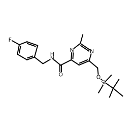 Cc1nc(CO[Si](C)(C)C(C)(C)C)cc(C(=O)NCc2ccc(F)cc2)n1